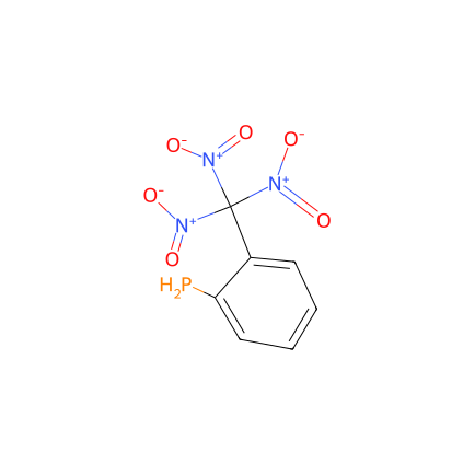 O=[N+]([O-])C(c1ccccc1P)([N+](=O)[O-])[N+](=O)[O-]